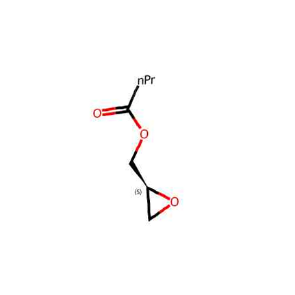 CCCC(=O)OC[C@@H]1CO1